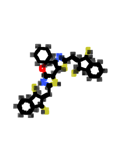 S=C1C(=Cc2nc3c(s2)-c2sc(C=C4C(=S)c5ccccc5C4=S)nc2C2(CCCCC2)O3)C(=S)c2ccccc21